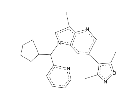 Cc1noc(C)c1-c1cnc2c(I)cn(C(c3ccccn3)C3CCCC3)c2c1